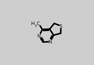 Cc1ncnc2c1CSC2